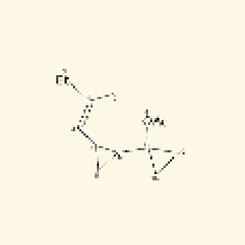 CC/C(C)=C/C1CC1C1(OC(C)=O)CC1